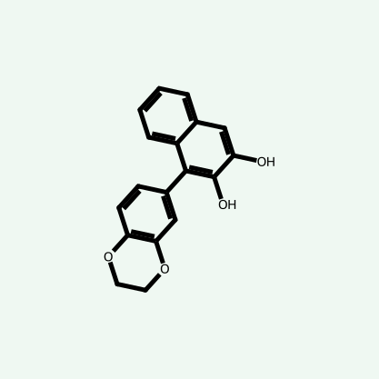 Oc1cc2ccccc2c(-c2ccc3c(c2)OCCO3)c1O